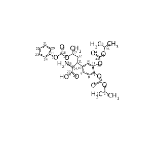 CC(C)OC(=O)Oc1ccc(C(CC(C)OC(=O)Oc2ccccc2)[C@H](N)C(=O)O)cc1OC(=O)OC(C)C